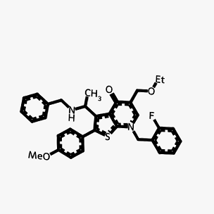 CCOCc1cn(Cc2ccccc2F)c2sc(-c3ccc(OC)cc3)c(C(C)NCc3ccccc3)c2c1=O